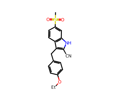 CCOc1ccc(Cc2c(C#N)[nH]c3cc(S(C)(=O)=O)ccc23)cc1